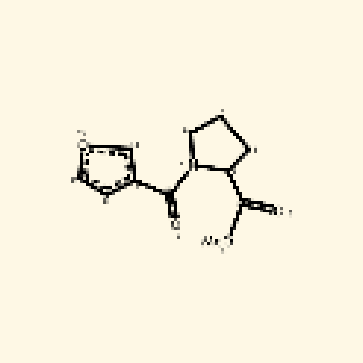 COC(=O)C1CCCN1C(=O)c1ccoc1